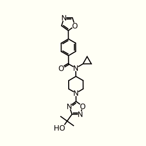 CC(C)(O)c1noc(N2CCC(N(C(=O)c3ccc(-c4cnco4)cc3)C3CC3)CC2)n1